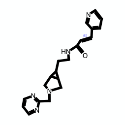 O=C(/C=C/c1cccnc1)NCCC1C2CN(Cc3ncccn3)CC12